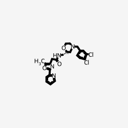 Cc1oc(-c2ccccn2)nc1CC(=O)NC[C@H]1CN(Cc2ccc(Cl)c(Cl)c2)CCO1